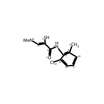 CN/C=C(\S)C(=O)Nc1c(C)cccc1Cl